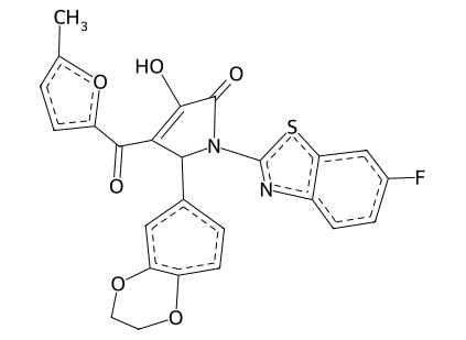 Cc1ccc(C(=O)C2=C(O)C(=O)N(c3nc4ccc(F)cc4s3)C2c2ccc3c(c2)OCCO3)o1